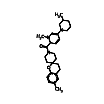 Cc1ccc2c(c1)CCC1(CCN(C(=O)C3C=CC(N4CCCC(C)C4)=CN3C)CC1)O2